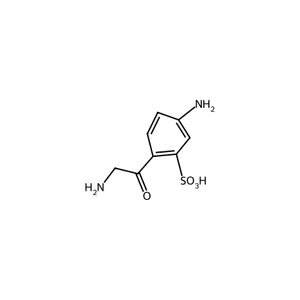 NCC(=O)c1ccc(N)cc1S(=O)(=O)O